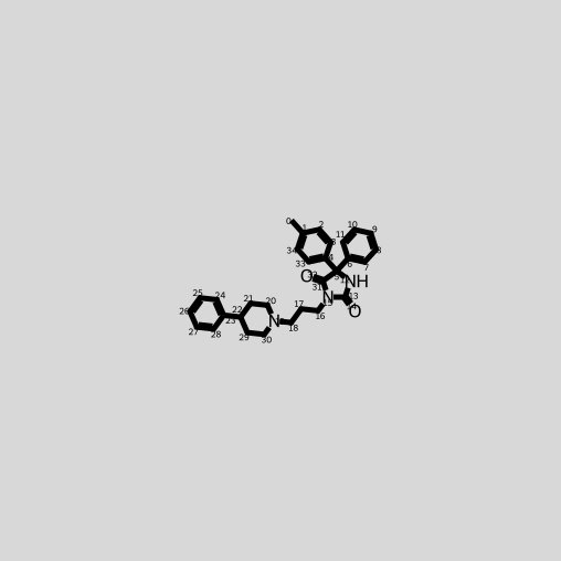 Cc1ccc(C2(c3ccccc3)NC(=O)N(CCCN3CCC(c4ccccc4)CC3)C2=O)cc1